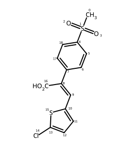 CS(=O)(=O)c1ccc(C(=Cc2ccc(Cl)s2)C(=O)O)cc1